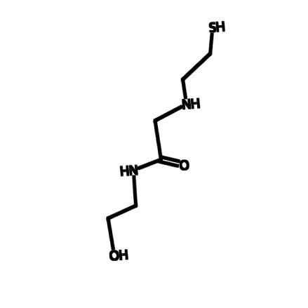 O=C(CNCCS)NCCO